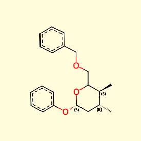 C[C@@H]1C[C@H](Oc2ccccc2)OC(COCc2ccccc2)[C@H]1C